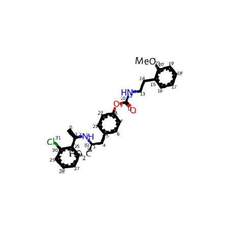 C=C(N[C@@H](Cc1ccc(OC(=O)NCCc2ccccc2OC)cc1)C(=O)O)c1ccccc1Cl